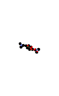 c1ccc(-n2c3ccccc3c3cc(-c4ccc5sc6c([Si](c7ccccc7)(c7ccccc7)c7cccc8c7sc7ccc(-c9ccc%10c(c9)c9ccccc9n%10-c9ccccc9)cc78)cccc6c5c4)ccc32)cc1